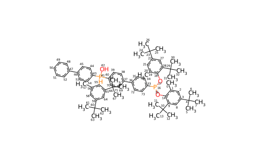 Cc1cc(C(C)(C)C)cc(C(C)(C)C)c1OP(Oc1c(C)cc(C(C)(C)C)cc1C(C)(C)C)c1ccc(-c2ccc([PH](O)(c3ccc(-c4ccccc4)cc3)c3c(C)cc(C(C)(C)C)cc3C(C)(C)C)cc2)cc1